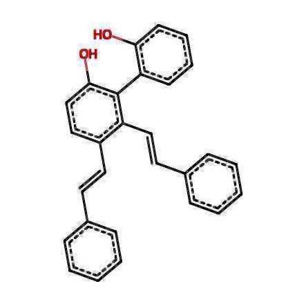 Oc1ccccc1-c1c(O)ccc(C=Cc2ccccc2)c1C=Cc1ccccc1